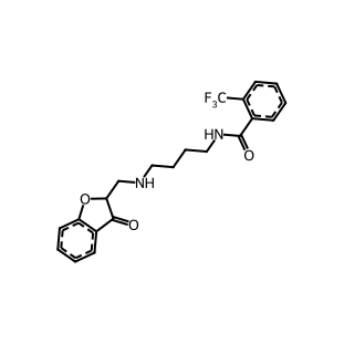 O=C(NCCCCNCC1Oc2ccccc2C1=O)c1ccccc1C(F)(F)F